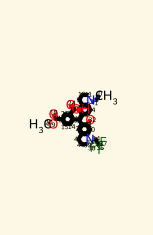 CC[N+]1=c2cc3c(cc2CCC1)=C(c1ccc(C(=O)OC)cc1C(=O)O)c1cc2c(cc1O3)N(CC(F)(F)F)CCC2